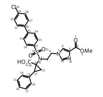 COC(=O)c1cn(CCN(C2(C(=O)O)CC2c2ccccc2)S(=O)(=O)c2ccc(-c3ccc(Cl)cc3)cc2)cn1